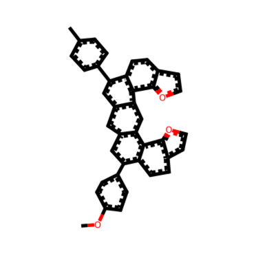 COc1ccc(-c2cc3cc4cc(-c5ccc(C)cc5)c5ccc6ccoc6c5c4cc3c3c2ccc2ccoc23)cc1